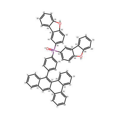 O=P(c1ccc(-c2c3ccccc3cc3c4ccccc4c4ccccc4c23)cc1)(c1ccc2oc3ccccc3c2c1)c1ccc2oc3ccccc3c2c1